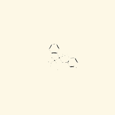 CN(C)C(Cl)(Cl)C(N)(Cc1cnccn1)c1ccccc1